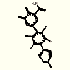 C=C(N)c1cc(-c2c(C)c(C)c(C3=CCC(C)C=C3)c(F)c2F)cc(=C)c1=C